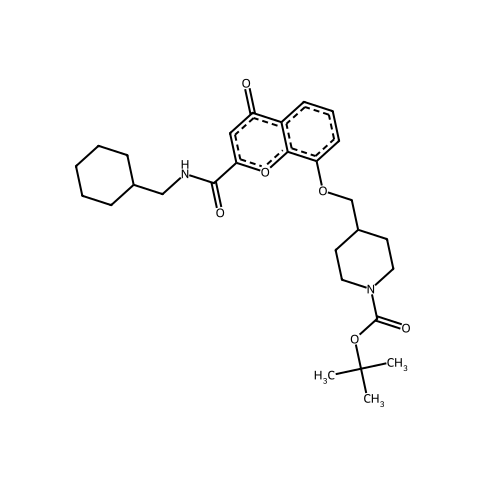 CC(C)(C)OC(=O)N1CCC(COc2cccc3c(=O)cc(C(=O)NCC4CCCCC4)oc23)CC1